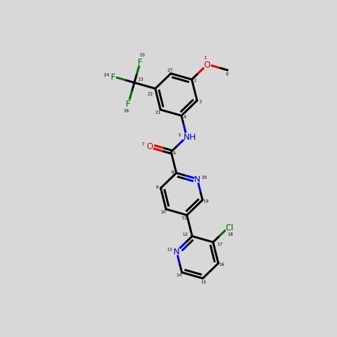 COc1cc(NC(=O)c2ccc(-c3ncccc3Cl)cn2)cc(C(F)(F)F)c1